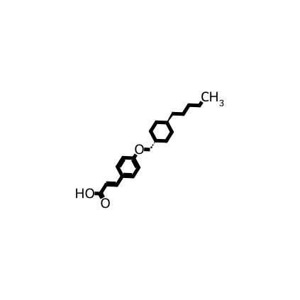 CCCCC[C@H]1CC[C@H](COc2ccc(C=CC(=O)O)cc2)CC1